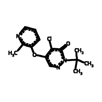 Cc1ncccc1Oc1cnn(C(C)(C)C)c(=O)c1Cl